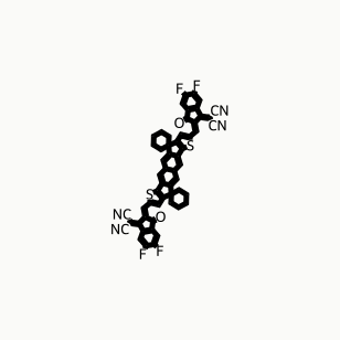 N#CC(C#N)=C1/C(=C/c2cc3c(s2)C2=CC4C=C5C(=CC4C=C2C32CCCCC2)c2sc(/C=C3\C(=O)c4cc(F)c(F)cc4C3=C(C#N)C#N)cc2C52CCCCC2)C(=O)c2cc(F)c(F)cc21